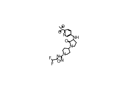 CS(=O)(=O)c1ccc(NC2CCN(C3CCN(c4noc(C(F)F)n4)CC3)C2=O)cn1